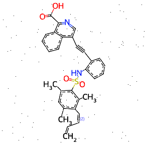 C=C/C=C\c1c(C)cc(C)c(S(=O)(=O)Nc2ccccc2C#Cc2cnc(C(=O)O)c3ccccc23)c1C